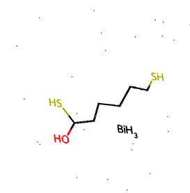 OC(S)CCCCCS.[BiH3]